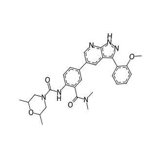 COc1ccccc1-c1n[nH]c2ncc(-c3ccc(NC(=O)N4CC(C)OC(C)C4)c(C(=O)N(C)C)c3)cc12